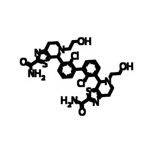 NC(=O)c1nc2c(s1)C(c1cccc(-c3cccc(C4c5sc(C(N)=O)nc5CCN4CCO)c3Cl)c1Cl)N(CCO)CC2